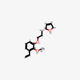 C=Cc1cccc(OCCC[C@@H]2C=CCO2)c1OC(C)C